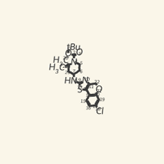 CC(C)(C)OC(=O)N1CCC(Nc2nc3c(s2)-c2ccc(Cl)cc2OC3)CC1(C)C